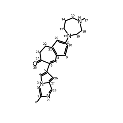 Cc1cn2cc(C3=Cc4ccc(N5CCCN(C)CC5)cc4CCC3=O)cc2cn1